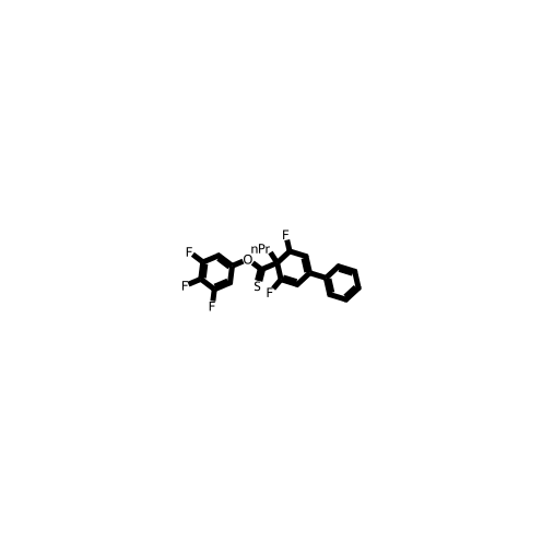 CCCC1(C(=S)Oc2cc(F)c(F)c(F)c2)C(F)=CC(c2ccccc2)=CC1F